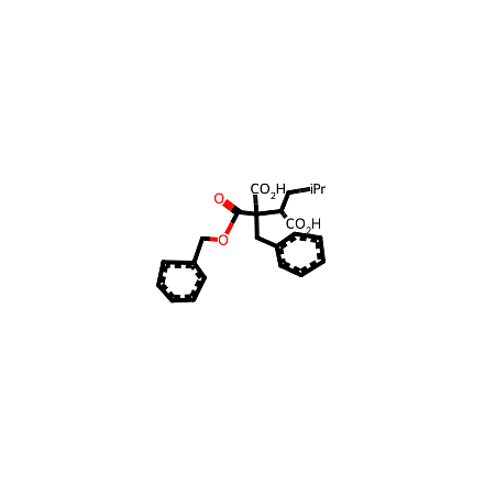 CC(C)CC(C(=O)O)C(Cc1ccccc1)(C(=O)O)C(=O)OCc1ccccc1